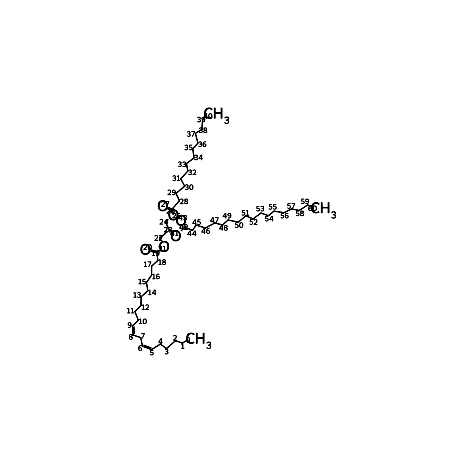 CCCCC/C=C\C/C=C\CCCCCCCCCC(=O)OC[C@@H](COC(=O)CCCCCCCCCCCCC)OC(=O)CCCCCCCCCCCCCCCCC